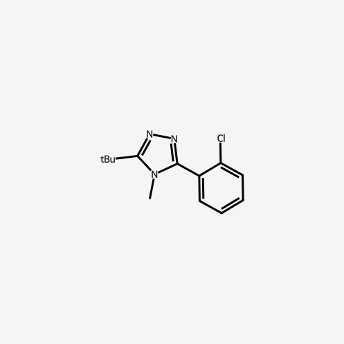 Cn1c(-c2ccccc2Cl)nnc1C(C)(C)C